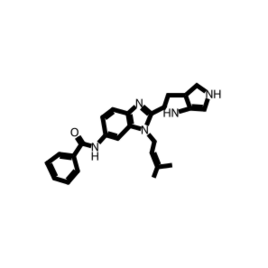 CC(C)=CCn1c(C2CC3CNC=C3N2)nc2ccc(NC(=O)c3ccccc3)cc21